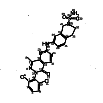 Cc1nn(-c2c(Cl)cccc2Cl)c(=O)c2cnc(Nc3ccc4c(c3)CN(S(N)(=O)=O)CC4)nc12